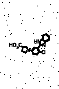 O=C(O)C1CCN(c2ccc(Cl)c(-c3nc4ccccc4[nH]3)c2)C1